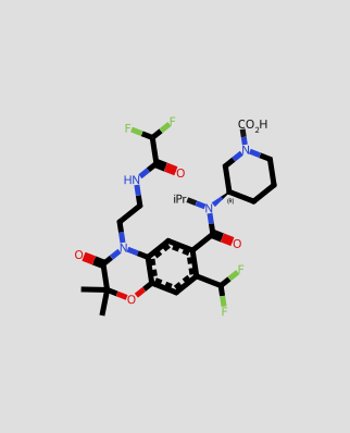 CC(C)N(C(=O)c1cc2c(cc1C(F)F)OC(C)(C)C(=O)N2CCNC(=O)C(F)F)[C@@H]1CCCN(C(=O)O)C1